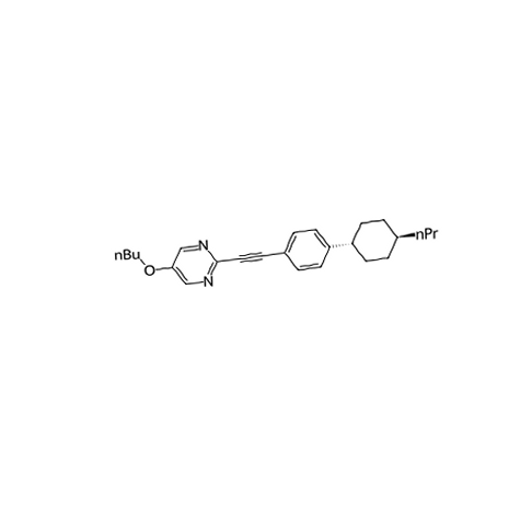 CCCCOc1cnc(C#Cc2ccc([C@H]3CC[C@H](CCC)CC3)cc2)nc1